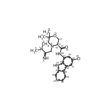 CN(C)C(=N)CN1CC(C)(C)OC[C@H]1C(=O)Nc1cc(Cl)cc2c1[nH]c1cnccc12